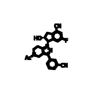 CC(=O)N1CCc2c(c(-c3cccc(C#N)c3)nn2[C@@H]2c3cc(F)cc(C#N)c3C[C@H]2O)C1